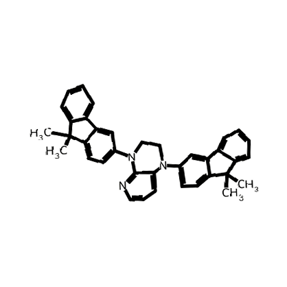 CC1(C)c2ccccc2-c2cc(N3CCN(c4ccc5c(c4)-c4ccccc4C5(C)C)c4ncccc43)ccc21